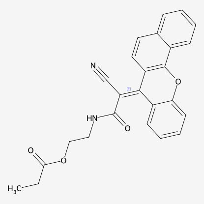 CCC(=O)OCCNC(=O)/C(C#N)=C1\c2ccccc2Oc2c1ccc1ccccc21